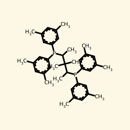 Cc1cc(C)cc(P(c2cc(C)cc(C)c2)C(C)C(C)(C)C(C)P(c2cc(C)cc(C)c2)c2cc(C)cc(C)c2)c1